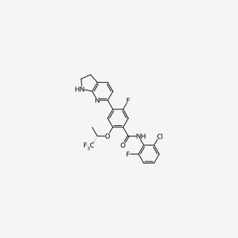 C[C@H](Oc1cc(-c2ccc3c(n2)NCC3)c(F)cc1C(=O)Nc1c(F)cccc1Cl)C(F)(F)F